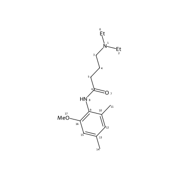 CCN(CC)CCCC(=O)Nc1c(C)cc(C)cc1OC